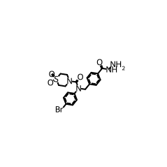 NNC(=O)c1ccc(CN(C(=O)N2CCS(=O)(=O)CC2)c2ccc(Br)cc2)cc1